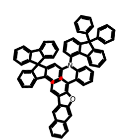 c1ccc(C2(c3ccccc3)c3ccccc3-c3c(N(c4ccc5c(c4)C4(c6ccccc6-c6ccccc64)c4ccccc4-5)c4ccccc4-c4cccc5c4oc4cc6ccccc6cc45)cccc32)cc1